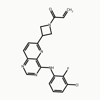 C=CC(=O)N1CC(c2ccc3ncnc(Nc4cccc(Cl)c4F)c3n2)C1